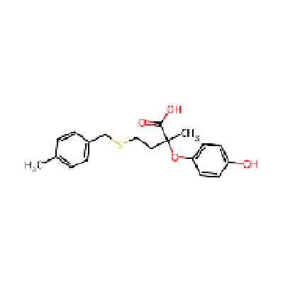 Cc1ccc(CSCCC(C)(Oc2ccc(O)cc2)C(=O)O)cc1